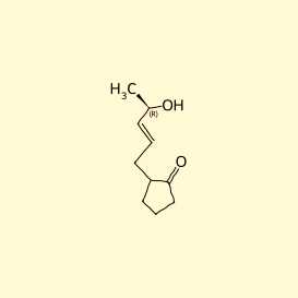 C[C@@H](O)C=CCC1CCCC1=O